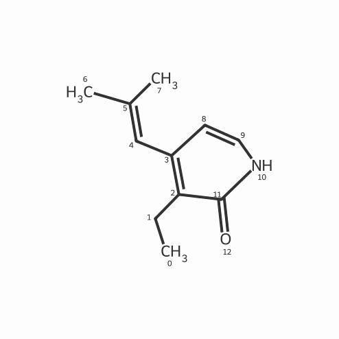 CCc1c(C=C(C)C)cc[nH]c1=O